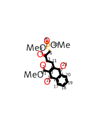 COC1OC(C(=O)CP(=O)(OC)OC)CC2=C1C(=O)c1ccccc1C2=O